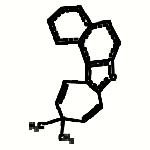 CC1(C)C=Cc2oc3ccc4ccccc4c3c2C=C1